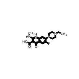 CCN1CCN(c2cc3[nH]c(NC)c(C(=O)O)c(=O)c3cc2F)CC1